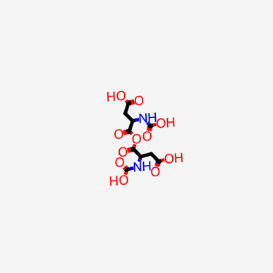 O=C(O)CC(NC(=O)O)C(=O)OC(=O)C(CC(=O)O)NC(=O)O